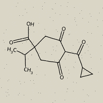 CC(C)C1(C(=O)O)CC(=O)C(C(=O)C2CC2)C(=O)C1